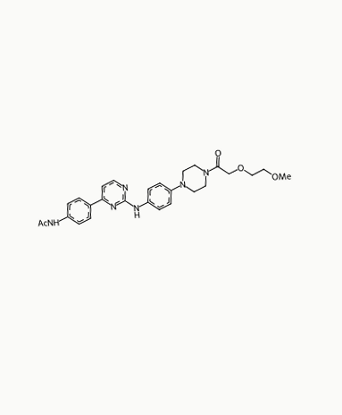 COCCOCC(=O)N1CCN(c2ccc(Nc3nccc(-c4ccc(NC(C)=O)cc4)n3)cc2)CC1